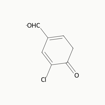 O=[C]C1=CCC(=O)C(Cl)=C1